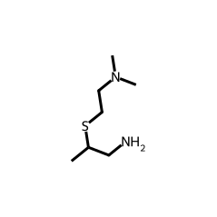 CC(CN)SCCN(C)C